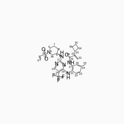 C=CS(=O)(=O)N1CCC[C@@H](Nc2ncc(C(F)(F)F)c(Nc3ccc(C)cc3NC(=O)C(=C)C3CCC3)n2)C1